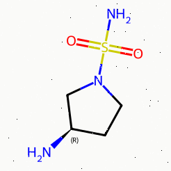 N[C@@H]1CCN(S(N)(=O)=O)C1